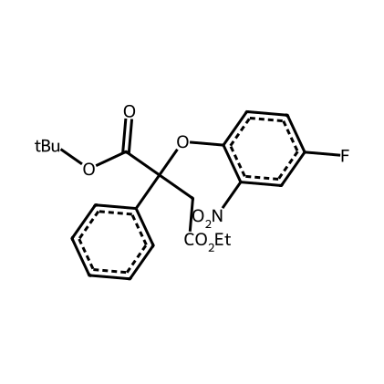 CCOC(=O)CC(Oc1ccc(F)cc1[N+](=O)[O-])(C(=O)OC(C)(C)C)c1ccccc1